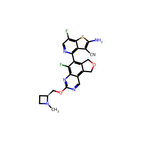 CN1CC[C@H]1COc1ncc2c3c(c(-c4ncc(F)c5sc(N)c(C#N)c45)c(F)c2n1)COC3